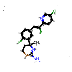 CC1(c2cc(C=C(F)c3ccc(Cl)cn3)ccc2F)CCSC(N)=N1